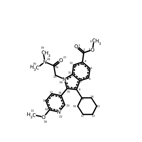 COC(=O)c1ccc2c(C3CCCCC3)c(-c3ccc(OC)nc3)n(CC(=O)N(C)C)c2c1